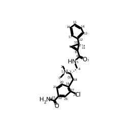 CN(C)[C@H](CNC(=O)C1=C[C@@]1(C)c1ccccc1)Cc1ccc(C(N)=O)cc1Cl